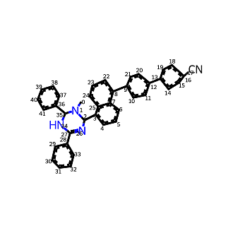 CN1C(c2cccc3c(-c4ccc(-c5ccc(C#N)cc5)cc4)cccc23)N=C(c2ccccc2)NC1c1ccccc1